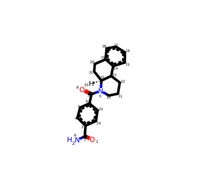 NC(=O)c1ccc(C(=O)N2CCCC3c4ccccc4CC[C@@H]32)cc1